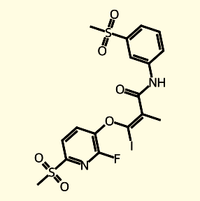 C/C(C(=O)Nc1cccc(S(C)(=O)=O)c1)=C(\I)Oc1ccc(S(C)(=O)=O)nc1F